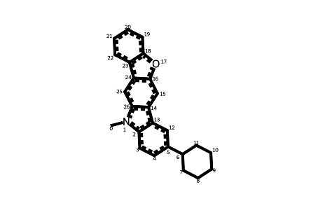 Cn1c2ccc(C3CCCCC3)cc2c2cc3oc4ccccc4c3cc21